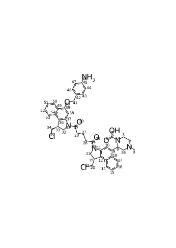 CN1CCN(C(=O)O)C(c2cc3c(c4ccccc24)C(CCl)CN3C(=O)CCCC(=O)N2C[C@@H](CCl)c3c2cc(OCc2ccc(N)cc2)c2ccccc32)C1